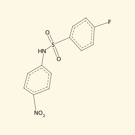 O=[N+]([O-])c1ccc(NS(=O)(=O)c2ccc(F)cc2)cc1